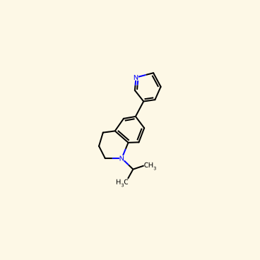 CC(C)N1CCCc2cc(-c3cccnc3)ccc21